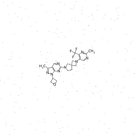 Cc1ncc(N2CC3(CCN(c4ncc5c(C)nn(C6COC6)c5n4)C3)C2)c(C(F)(F)F)n1